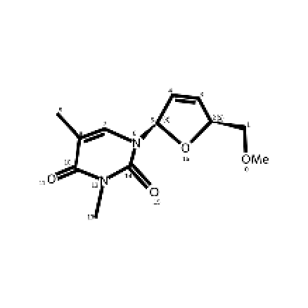 COC[C@@H]1C=C[C@H](n2cc(C)c(=O)n(C)c2=O)O1